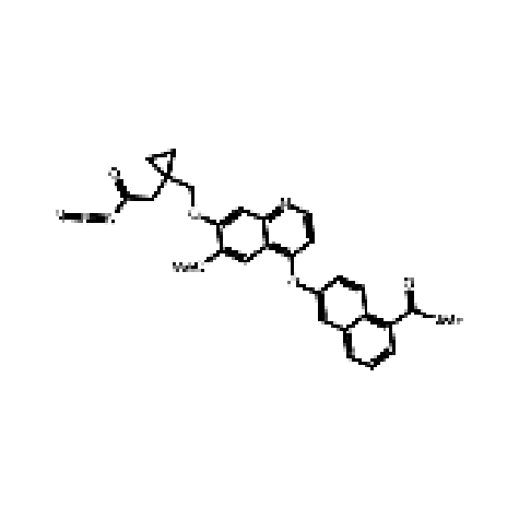 CNC(=O)c1cccc2cc(Oc3ccnc4cc(OCC5(CC(=O)N=[N+]=[N-])CC5)c(OC)cc34)ccc12